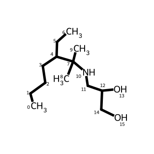 CCCCC(CC)C(C)(C)NCC(O)CO